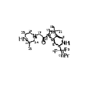 CCCC(F)(F)C1C=C2C(=CN1)C(C)(C)CN2C(=O)CN1CCNC(C)C1